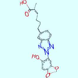 CC(=CCCCc1ccc2nn(-c3cc4c(cc3O)OCO4)nc2c1)C(=O)O